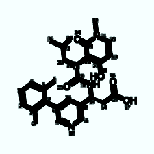 Cc1cccc(C)c1-c1cncc([C@H](CC(=O)O)NC(=O)N(CC(C)C)c2c(O)ccn(C)c2=O)c1